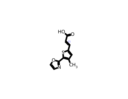 Cc1cc(/C=C/C(=O)O)sc1-c1ncco1